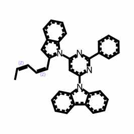 C/C=C\C=C/c1cc2ccccc2n1-c1cc(-n2c3ccccc3c3ccccc32)nc(-c2ccccc2)n1